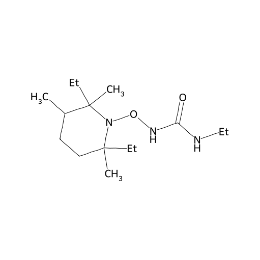 CCNC(=O)NON1C(C)(CC)CCC(C)C1(C)CC